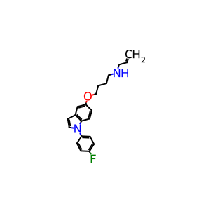 C=CCNCCCCOc1ccc2c(ccn2-c2ccc(F)cc2)c1